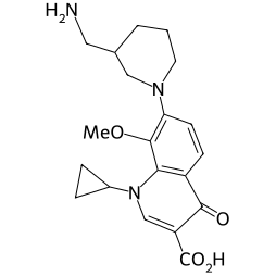 COc1c(N2CCCC(CN)C2)ccc2c(=O)c(C(=O)O)cn(C3CC3)c12